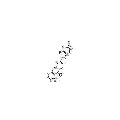 [O-][S+](c1ccccc1F)C1CCN(CCc2ccc(F)cc2F)CC1